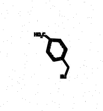 CCC(C)Cc1ccc(C(=O)O)cc1